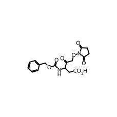 O=C(O)CC(NC(=O)OCc1ccccc1)C(=O)CON1C(=O)CCC1=O